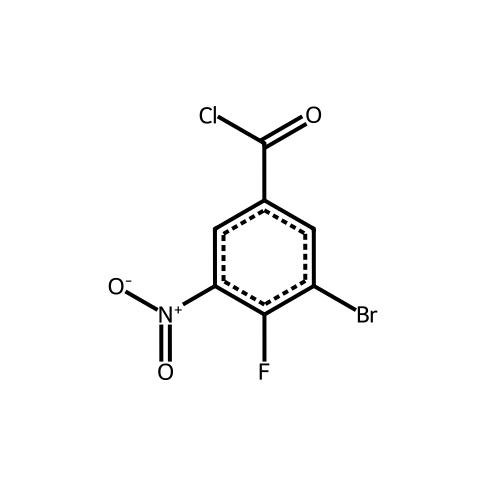 O=C(Cl)c1cc(Br)c(F)c([N+](=O)[O-])c1